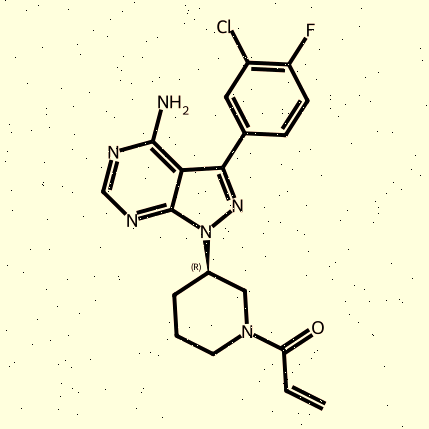 C=CC(=O)N1CCC[C@@H](n2nc(-c3ccc(F)c(Cl)c3)c3c(N)ncnc32)C1